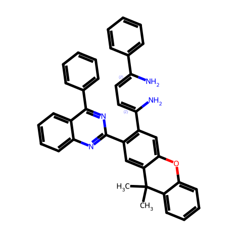 CC1(C)c2ccccc2Oc2cc(/C(N)=C/C=C(\N)c3ccccc3)c(-c3nc(-c4ccccc4)c4ccccc4n3)cc21